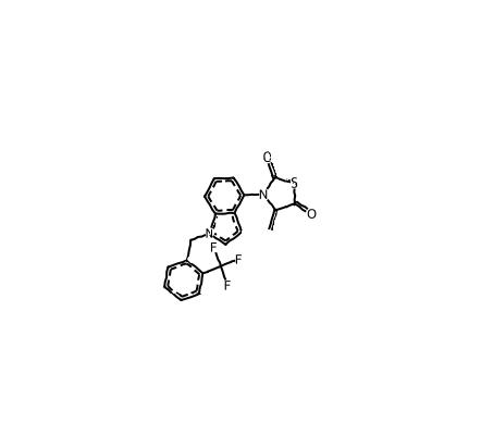 C=C1C(=O)SC(=O)N1c1cccc2c1ccn2Cc1ccccc1C(F)(F)F